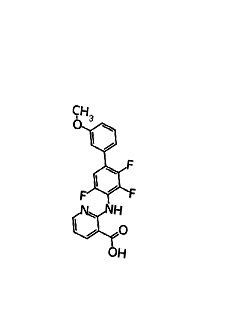 COc1cccc(-c2cc(F)c(Nc3ncccc3C(=O)O)c(F)c2F)c1